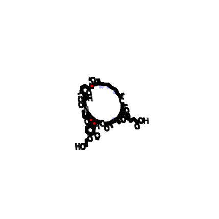 CO[C@H]1C[C@@H]2CC[C@@H](C)[C@@](O)(O2)C(=O)C(=O)N2CCCC3[C@H]2C(=O)O[C@@H](CC(=O)[C@H](C)/C=C(\C)[C@@H](OC(=O)CCC(=O)O)[C@@H](OC)C(=O)[C@H](C)C[C@H](C)/C=C/C=C/C=C/1C)[C@H]3C[C@@H]1CC[C@@H](OCCO)[C@H](OC)C1